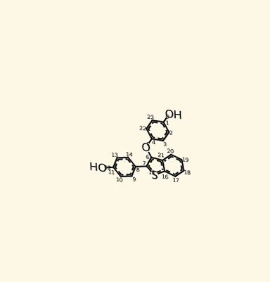 Oc1ccc(Oc2c(-c3ccc(O)cc3)sc3ccccc23)cc1